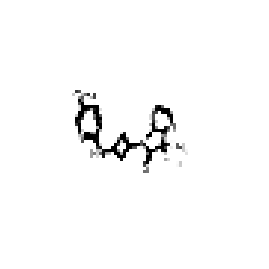 COc1ccc(NC2CC(N3C(=O)C(C)(C)c4nccnc43)C2)nc1